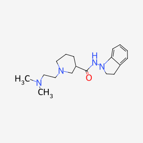 CN(C)CCN1CCCC(C(=O)NN2CCc3ccccc32)C1